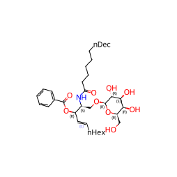 CCCCCC/C=C/[C@@H](OC(=O)c1ccccc1)[C@H](CO[C@@H]1O[C@H](CO)[C@H](O)[C@H](O)[C@H]1O)NC(=O)CCCCCCCCCCCCCCC